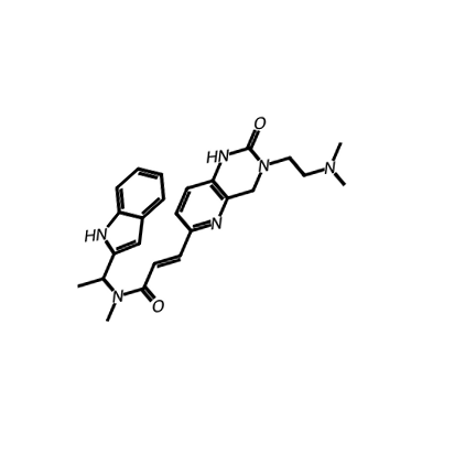 CC(c1cc2ccccc2[nH]1)N(C)C(=O)C=Cc1ccc2c(n1)CN(CCN(C)C)C(=O)N2